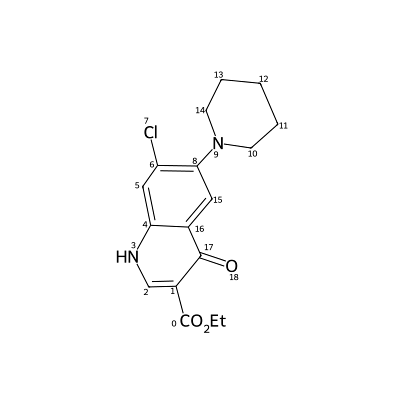 CCOC(=O)c1c[nH]c2cc(Cl)c(N3CCCCC3)cc2c1=O